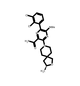 CNc1nc(N2CCC3(CC2)CO[C@@H](C)C3)c(C(N)=O)nc1-c1cccc(Cl)c1Cl